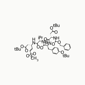 CC(C)[C@H](NC(=O)[C@H](Cc1ccc(OC(C)(C)C)cc1)NC(=O)[C@H](CC(=O)OC(C)(C)C)NC(=O)OCc1ccccc1)C(=O)N[C@H](/C=C/S(C)(=O)=O)CC(=O)OC(C)(C)C